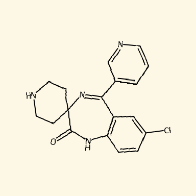 O=C1Nc2ccc(Cl)cc2C(c2cccnc2)=NC12CCNCC2